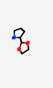 C1C[N]C(C2OCCO2)C1